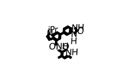 Cc1cc(C)c(CNC(=O)c2cc(-c3ccc4[nH]c(=O)[nH]c4c3)cc3c2ccn3C(C)C)c(=O)[nH]1